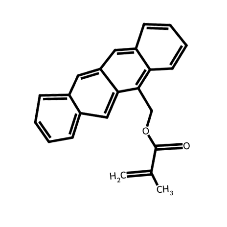 C=C(C)C(=O)OCc1c2ccccc2cc2cc3ccccc3cc12